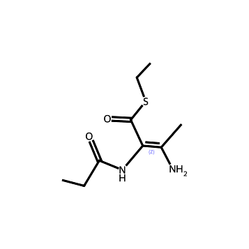 CCSC(=O)/C(NC(=O)CC)=C(\C)N